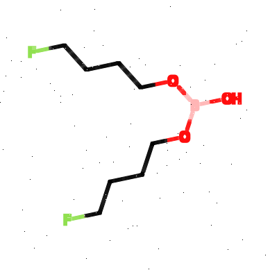 OB(OCCCCF)OCCCCF